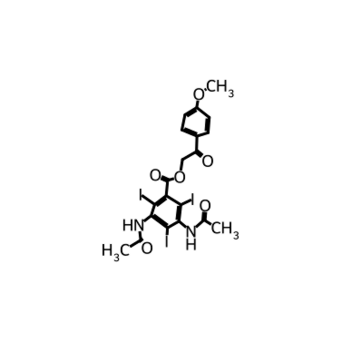 COc1ccc(C(=O)COC(=O)c2c(I)c(NC(C)=O)c(I)c(NC(C)=O)c2I)cc1